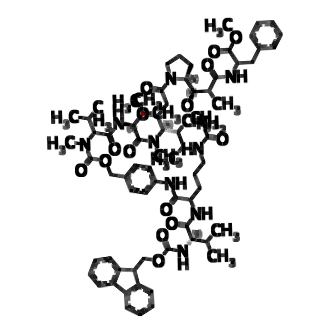 CCC(C)[C@@H](C(CC(=O)N1CCC[C@H]1[C@H](OC)C(C)C(=O)NC(Cc1ccccc1)C(=O)OC)OC)N(C)C(=O)[C@@H](NC(=O)C(C(C)C)N(C)C(=O)OCc1ccc(NC(=O)C(CCCNC(N)=O)NC(=O)[C@@H](NC(=O)OCC2c3ccccc3-c3ccccc32)C(C)C)cc1)C(C)C